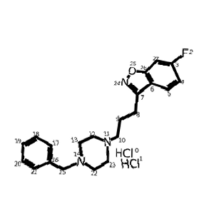 Cl.Cl.Fc1ccc2c(CCCN3CCN(Cc4ccccc4)CC3)noc2c1